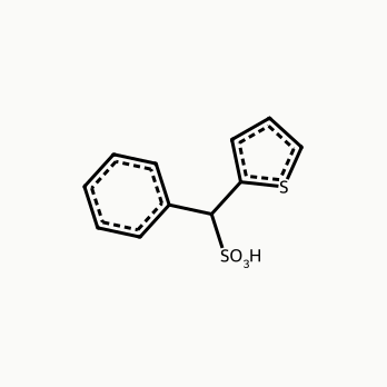 O=S(=O)(O)C(c1ccccc1)c1cccs1